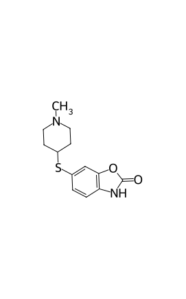 CN1CCC(Sc2ccc3[nH]c(=O)oc3c2)CC1